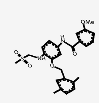 COc1cccc(C(=O)Nc2ccc(NCS(C)(=O)=O)c(OCc3cc(C)ccc3C)c2)c1